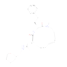 CN1CCC/C=C/CCC[C@H](CC(=O)NOC2CCCCO2)C(=O)N[C@@H](CCc2ccccc2)C1=O